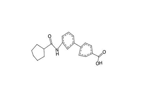 O=C(O)c1ccc(-c2cccc(NC(=O)C3CCCCC3)c2)cc1